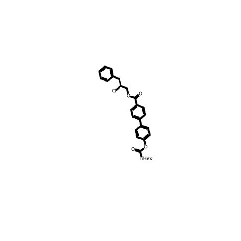 CCCCCCC(=O)Oc1ccc(-c2ccc(C(=O)OCC(Cl)Cc3ccccc3)cc2)cc1